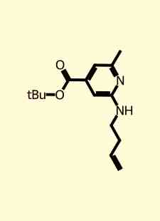 C=CCCNc1cc(C(=O)OC(C)(C)C)cc(C)n1